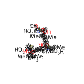 CCOc1cc(C(=O)O)c2nc(CC(OC3CCCC3)C(O)c3cc(OC)c(Cc4ccc5c(c4)CC(OC(Cc4nc6c(C(=O)O)cc(OC)cc6s4)C(O)c4cc(OC)c(Cc6ccc7c(c6)CC(OC(Cc6nc8c(C(=O)O)cccc8s6)C(O)c6cc(OC)c(C)c(OC)c6)C7)c(OC)c4)C5)c(OC)c3)sc2c1